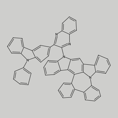 c1ccc(-n2c3ccccc3c3cc(-c4nc5ccccc5nc4-n4c5ccccc5c5c6c7c(cc54)c4ccccc4n7-c4ccccc4-c4ccccc4-6)ccc32)cc1